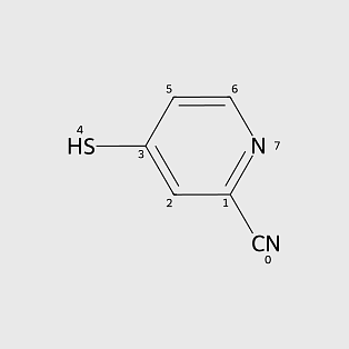 N#Cc1cc(S)ccn1